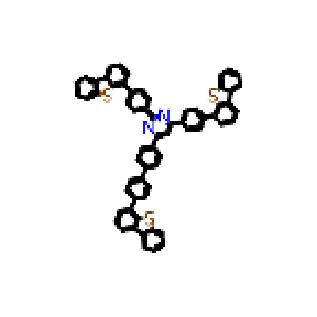 c1ccc2c(c1)sc1c(-c3ccc(-c4ccc(-c5cc(-c6ccc(-c7cccc8c7sc7ccccc78)cc6)nc(-c6ccc(-c7cccc8c7sc7ccccc78)cc6)n5)cc4)cc3)cccc12